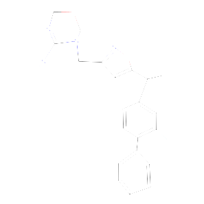 CC(c1ccc(-c2ccccc2)c(F)c1)c1cc(CN2COCN=C2N)no1